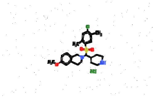 COc1ccc2c(c1)CCN(C(C1CCNCC1)S(=O)(=O)c1cc(C)c(Cl)cc1C)C2.Cl